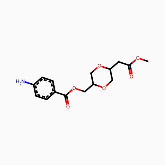 COC(=O)CC1COC(COC(=O)c2ccc(N)cc2)CO1